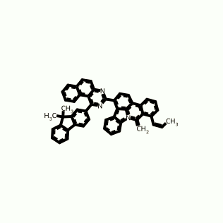 C=c1c2c(/C=C\C)cccc2c2ccc(-c3nc(-c4ccc5c(c4)C(C)(C)c4ccccc4-5)c4c(ccc5ccccc54)n3)c3c4ccccc4n1c23